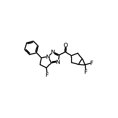 O=C(c1nc2n(n1)C(c1ccccc1)CC2F)C1CC2C(C1)C2(F)F